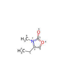 CCc1coc(=O)n1C